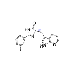 Cc1cccc(C2=N/C(=C\c3c[nH]c4ncccc34)C(=O)N2)c1